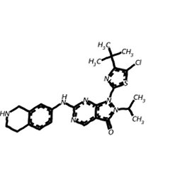 CC(C)n1c(=O)c2cnc(Nc3ccc4c(c3)CNCC4)nc2n1-c1nc(C(C)(C)C)c(Cl)s1